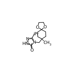 CC(C)c1n[nH]c(=O)n1CC1(C)CCC2(CC1)OCCO2